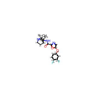 C[C@H]1[C@H](NC(=O)c2ncc(Oc3ccc(F)c(F)c3)o2)C2CCN1CC2